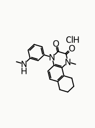 CNc1cccc(-n2c(=O)c(=O)n(C)c3c4c(ccc32)CCCC4)c1.Cl